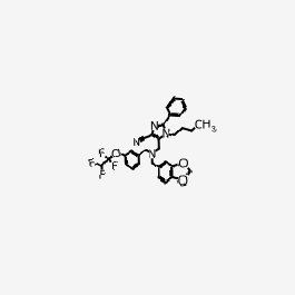 CCCCn1c(-c2ccccc2)nc(C#N)c1CN(Cc1cccc(OC(F)(F)C(F)F)c1)Cc1ccc2c(c1)OCO2